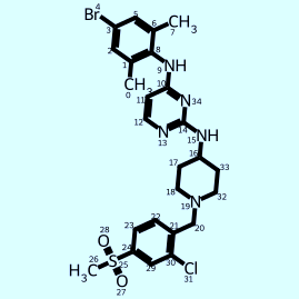 Cc1cc(Br)cc(C)c1Nc1ccnc(NC2CCN(Cc3ccc(S(C)(=O)=O)cc3Cl)CC2)n1